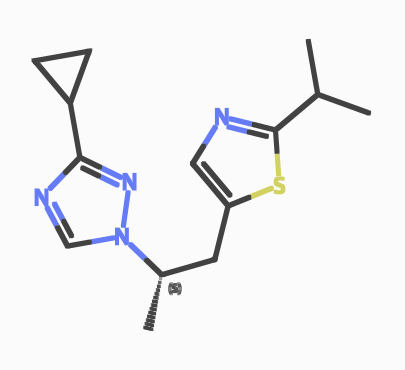 CC(C)c1ncc(C[C@H](C)n2cnc(C3CC3)n2)s1